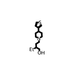 CCC(CO)CCN1CCC(c2ccsc2)CC1